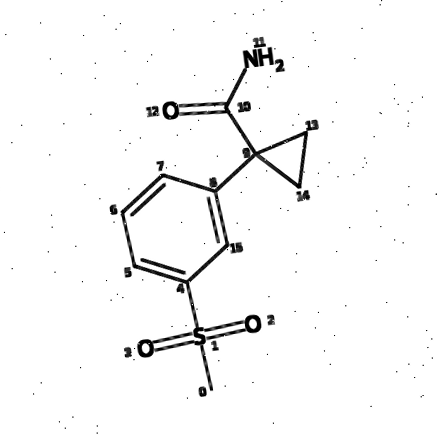 CS(=O)(=O)c1cccc(C2(C(N)=O)CC2)c1